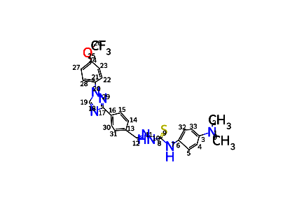 CN(C)c1ccc(NC(=S)N/N=C/c2ccc(-c3ncn(-c4ccc(OC(F)(F)F)cc4)n3)cc2)cc1